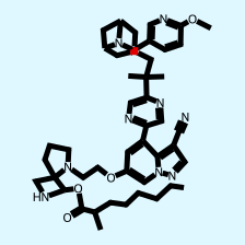 CCCCCCC(C)C(=O)OC1NCC12CCCN2CCOc1cc(-c2cnc(C(C)(C)CN3CC4CC(C3)N4Cc3ccc(OC)nc3)cn2)c2c(C#N)cnn2c1